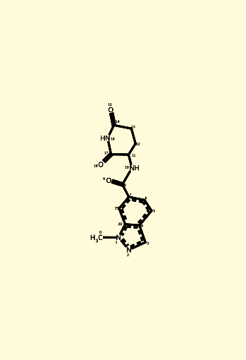 Cn1ncc2ccc(C(=O)NC3CCC(=O)NC3=O)cc21